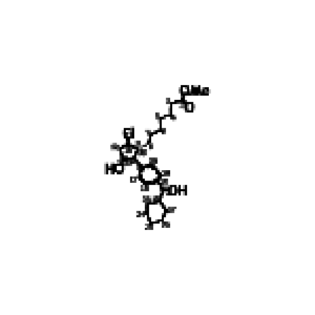 COC(=O)CCCCCC[C@H]1C(Cl)C[C@@H](O)[C@@H]1c1ccc(C(O)C2CCCCC2)cc1